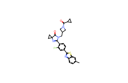 Cc1ccc2nc(-c3ccc(C4=NC5(CC5)C(=O)N4CC4CN(C(=O)C5CC5)C4)c(F)c3)sc2c1